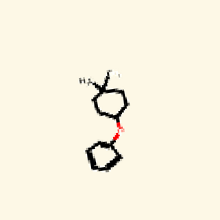 CC1(C)CCC(Oc2c[c]ccc2)CC1